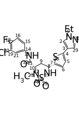 CCn1cc(-c2ccc([C@H]3C[C@@H](C(=O)Nc4ccc(F)c(Cl)c4)N(C)S(=O)(=O)N3)s2)cn1